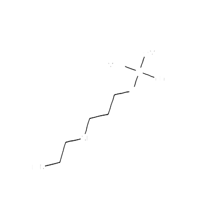 CCC[Si](OC)(OC)OCCCNCCN